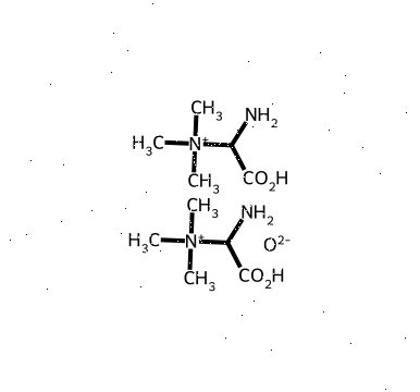 C[N+](C)(C)C(N)C(=O)O.C[N+](C)(C)C(N)C(=O)O.[O-2]